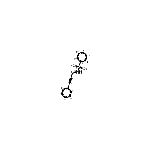 O=S(=O)(NCC#Cc1ccccc1)c1ccccc1